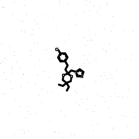 CCC1(CC)COC(CCc2ccc(Cl)cc2)(Cn2ccnc2)OC1